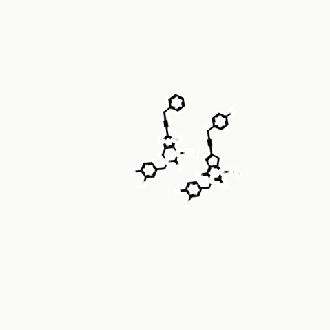 CN1C(=O)N(Cc2ccc(F)c(F)c2)Cc2nc(C#CCc3ccccc3)[nH]c21.Cn1c2c(c(=O)n(Cc3ccc(F)c(F)c3)c1=O)C=C(C#CCc1ccc(F)cc1)C2